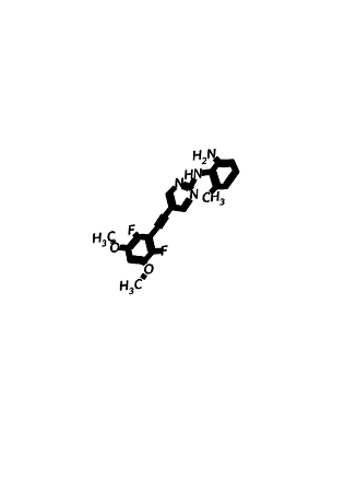 COc1cc(OC)c(F)c(C#Cc2cnc(Nc3c(C)cccc3N)nc2)c1F